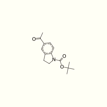 CC(=O)c1ccc2c(c1)CCN2C(=O)OC(C)(C)C